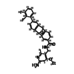 CCOc1cc(N)nc(C)c1CNC(=O)c1ccc2c(c1)C1OC2c2cc(-c3cccc(F)c3F)ccc21